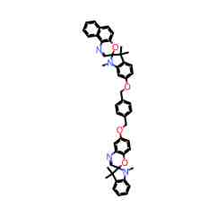 CN1c2ccccc2C(C)(C)C12C=Nc1cc(OCc3ccc(COc4ccc5c(c4)N(C)C4(C=Nc6c(ccc7ccccc67)O4)C5(C)C)cc3)ccc1O2